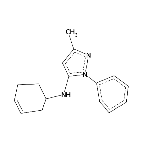 Cc1cc(NC2CC=CCC2)n(-c2ccccc2)n1